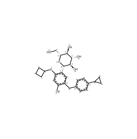 N#Cc1cc(OC2CCC2)c([C@@H]2O[C@H](CO)[C@@H](O)[C@H](O)[C@H]2O)cc1Cc1ccc(C2CC2)cc1